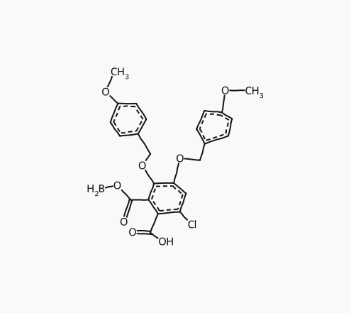 BOC(=O)c1c(OCc2ccc(OC)cc2)c(OCc2ccc(OC)cc2)cc(Cl)c1C(=O)O